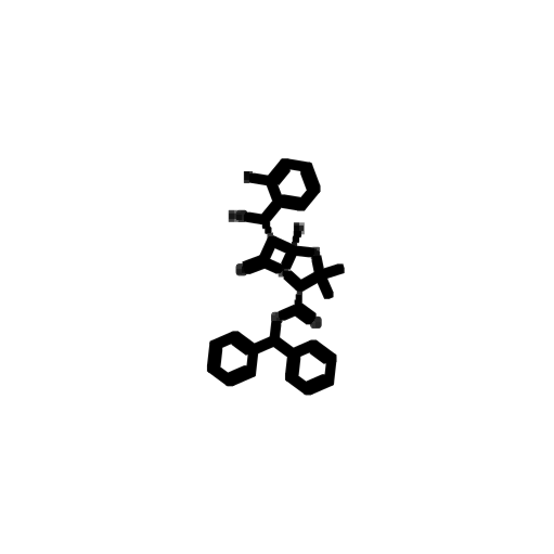 CC1(C)S[C@@H]2[C@@H](C(O)c3ccccc3F)C(=O)N2[C@H]1C(=O)OC(c1ccccc1)c1ccccc1